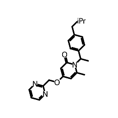 Cc1cc(OCc2ncccn2)cc(=O)n1C(C)c1ccc(CC(C)C)cc1